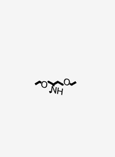 CCOCCC(COCC)NC